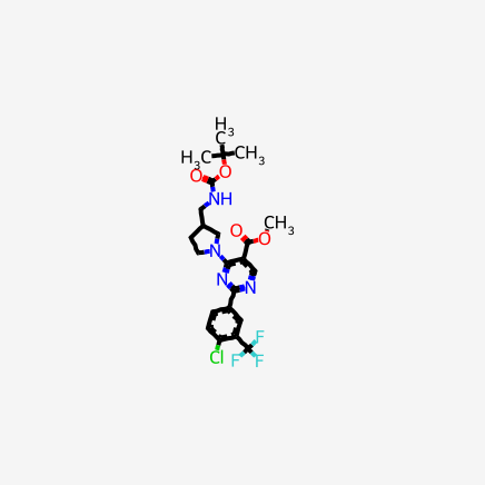 COC(=O)c1cnc(-c2ccc(Cl)c(C(F)(F)F)c2)nc1N1CCC(CNC(=O)OC(C)(C)C)C1